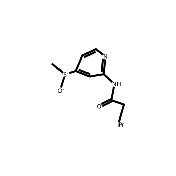 CC(C)CC(=O)Nc1cc([S+](C)[O-])ccn1